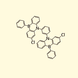 Clc1ccc2c(c1)N(c1cccc(N3c4ccccc4B(c4ccccc4)c4ccc(Cl)cc43)c1)c1ccccc1B2c1ccccc1